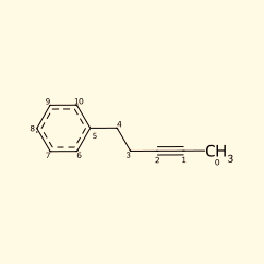 CC#CCCc1cc[c]cc1